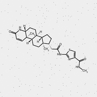 CNC(=O)c1csc(NC(=O)C[C@H]2CC[C@H]3[C@@H]4CC[C@H]5NC(=O)C=C[C@]5(C)[C@H]4CC[C@]23C)n1